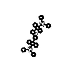 C1=CCCC(c2nc(-c3ccccc3)nc(-c3c4ccccc4c(-c4ccc5oc6c(-c7c8ccccc8c(-c8nc(-c9ccccc9)nc(-c9ccccc9)n8)c8ccccc78)cccc6c5c4)c4ccccc34)n2)=C1